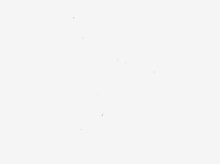 O=C(NCCO)OCCC1=NN=C(CCO)C2CC[C@H]3O[C@@H](COC(=O)NCCO)O[C@H]3CCC12